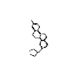 [CH2]C1=CCC2=C3CC=c4ccc(OC5CCCC5)cc4=C3CCC2=C1